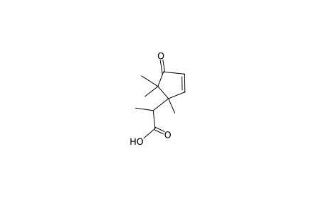 CC(C(=O)O)C1(C)C=CC(=O)C1(C)C